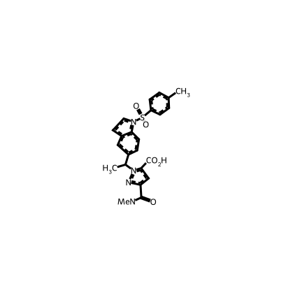 CNC(=O)c1cc(C(=O)O)n(C(C)c2ccc3c(ccn3S(=O)(=O)c3ccc(C)cc3)c2)n1